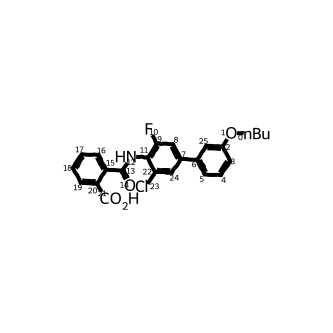 CCCCOc1cccc(-c2cc(F)c(NC(=O)c3ccccc3C(=O)O)c(Cl)c2)c1